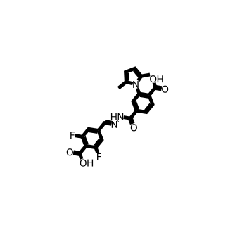 Cc1ccc(C)n1-c1cc(C(=O)N/N=C/c2cc(F)c(C(=O)O)c(F)c2)ccc1C(=O)O